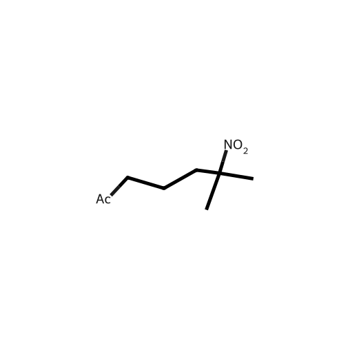 CC(=O)CCCC(C)(C)[N+](=O)[O-]